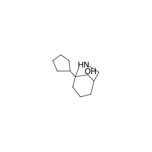 OC1C2CCCC1(C1CCCC1)CNC2